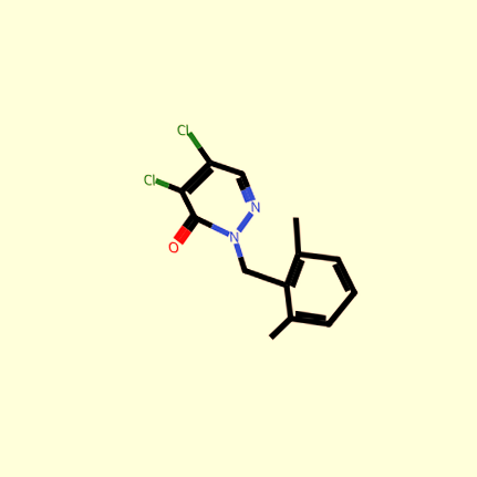 Cc1cccc(C)c1Cn1ncc(Cl)c(Cl)c1=O